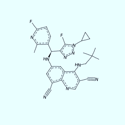 Cc1nc(F)ccc1[C@H](Nc1cc(C#N)c2ncc(C#N)c(NCC(C)(C)C)c2c1)c1nnn(C2CC2)c1F